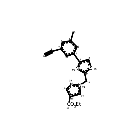 C#Cc1cc(C)cc(-c2csc(Cn3cc(C(=O)OCC)cn3)n2)c1